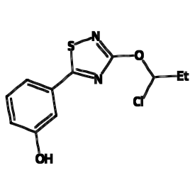 CCC(Cl)Oc1nsc(-c2cccc(O)c2)n1